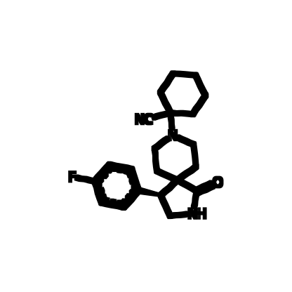 N#CC1(N2CCC3(CC2)C(=O)NC[C@H]3c2ccc(F)cc2)CCCCC1